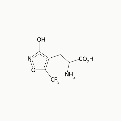 NC(Cc1c(O)noc1C(F)(F)F)C(=O)O